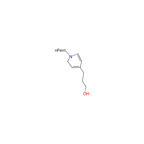 CCCCCN1C=CC(CCCO)=CC1